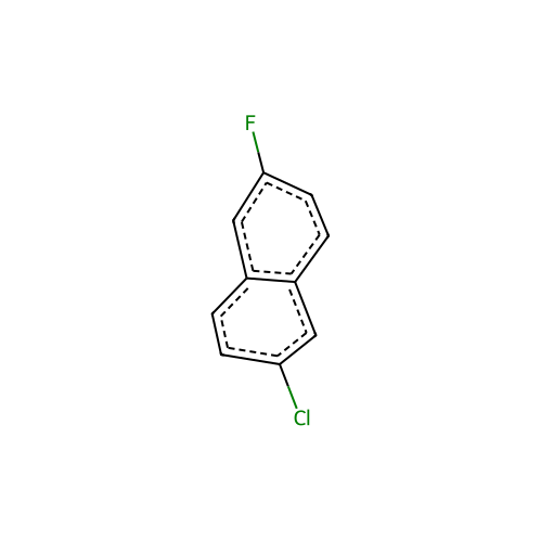 Fc1ccc2cc(Cl)ccc2c1